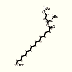 CCCCCCCCCCCCCCCCCCCCCCCCC(=O)OC(CCOCCCC)OCCCC